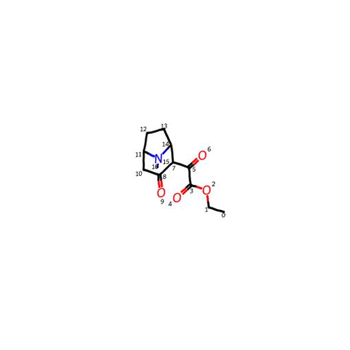 CCOC(=O)C(=O)C1C(=O)CC2CCC1N2C